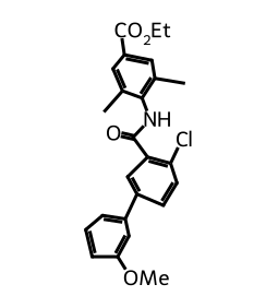 CCOC(=O)c1cc(C)c(NC(=O)c2cc(-c3cccc(OC)c3)ccc2Cl)c(C)c1